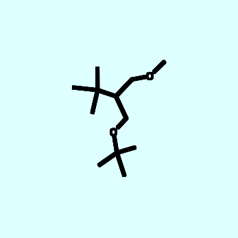 COCC(COC(C)(C)C)C(C)(C)C